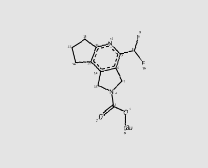 CC(C)(C)OC(=O)N1Cc2c(C(F)F)nc3c(c2C1)CCC3